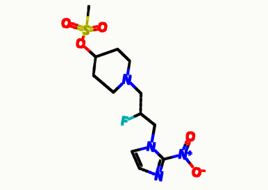 CS(=O)(=O)OC1CCN(CC(F)Cn2ccnc2[N+](=O)[O-])CC1